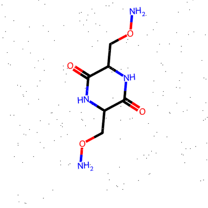 NOCC1NC(=O)C(CON)NC1=O